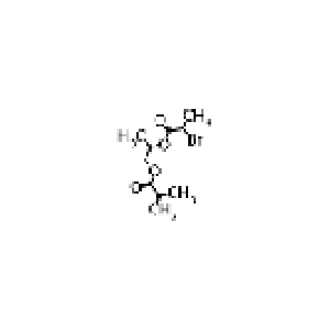 C=C(C)C(=O)OCC(C)OC(=O)C(C)Br